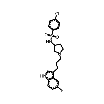 O=S(=O)(NC1CCN(CCCc2c[nH]c3ccc(F)cc23)C1)c1ccc(Cl)cc1